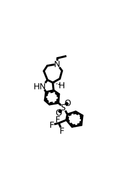 CCN1CCC2Nc3ccc(S(=O)(=O)c4ccccc4C(F)(F)F)cc3[C@@H]2CC1